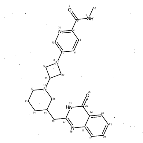 CNC(=O)c1ccc(N2CC(N3CCCC(Cc4nc5ccccc5c(=O)[nH]4)C3)C2)cn1